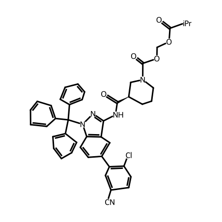 CC(C)C(=O)OCOC(=O)N1CCC[C@@H](C(=O)Nc2nn(C(c3ccccc3)(c3ccccc3)c3ccccc3)c3ccc(-c4cc(C#N)ccc4Cl)cc23)C1